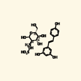 N[C@H]1C(O)O[C@H](CO)[C@@H](O)[C@@H]1O.O=S(=O)(O)O.Oc1ccc(C=Cc2cc(O)cc(O)c2)cc1